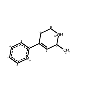 CC1C=C(c2ccccn2)CCN1